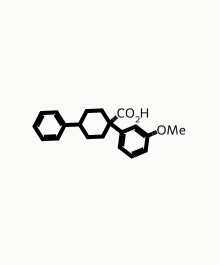 COc1cccc(C2(C(=O)O)CCC(c3ccccc3)CC2)c1